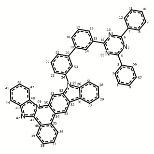 c1ccc(-c2nc(-c3ccccc3)nc(-c3cccc(-c4cccc(-n5c6ccccc6c6cc7c8ccccc8c8nc9ccccc9n8c7cc65)c4)c3)n2)cc1